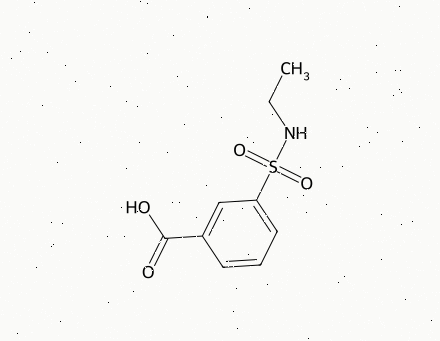 CCNS(=O)(=O)c1cccc(C(=O)O)c1